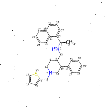 C[C@@H](NCC1CCN(Cc2cccs2)CC1c1ccccc1)c1cccc2ccccc12